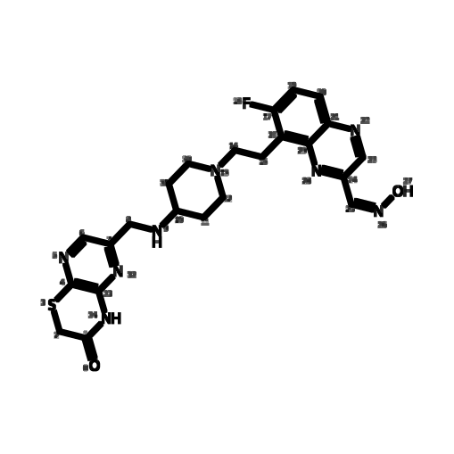 O=C1CSc2ncc(CNC3CCN(CCc4c(F)ccc5ncc(/C=N\O)nc45)CC3)nc2N1